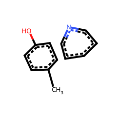 Cc1ccc(O)cc1.c1ccncc1